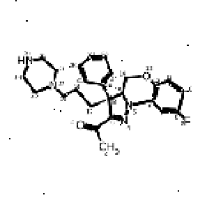 CC(=O)C1=NN2c3cc(F)ccc3OCC2[C@@]1(CCCN1CCNCC1)c1ccccc1